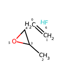 C=C.CC1CO1.F